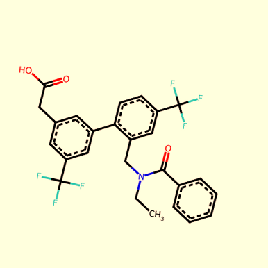 CCN(Cc1cc(C(F)(F)F)ccc1-c1cc(CC(=O)O)cc(C(F)(F)F)c1)C(=O)c1ccccc1